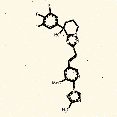 COc1cc(C=Cc2nc3n(n2)CCCC3(C#N)c2cc(F)c(F)c(F)c2)cnc1-n1cnc(C)c1